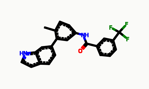 Cc1ccc(NC(=O)c2cccc(C(F)(F)F)c2)cc1-c1ccc2cc[nH]c2c1